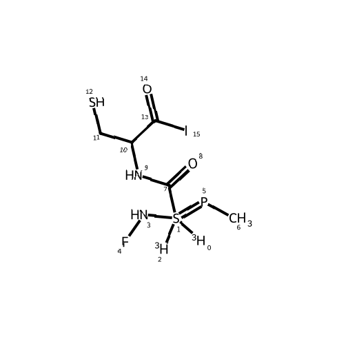 [3H]S([3H])(NF)(=PC)C(=O)NC(CS)C(=O)I